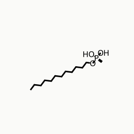 C=P(O)(O)OCCCCCCCCCCCC